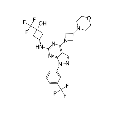 O[C@]1(C(F)(F)F)C[C@@H](Nc2nc(N3CC(N4CCOCC4)C3)c3cnn(-c4cccc(C(F)(F)F)c4)c3n2)C1